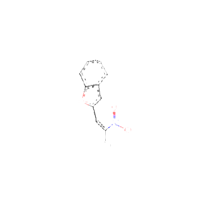 C/C(=C/c1cc2ccccc2o1)[N+](=O)[O-]